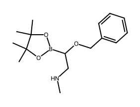 CNCC(OCc1ccccc1)B1OC(C)(C)C(C)(C)O1